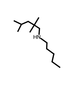 CCCCCNCC(C)(C)CC(C)C